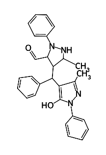 Cc1nn(-c2ccccc2)c(O)c1C(c1ccccc1)C1C(C)NN(c2ccccc2)C1C=O